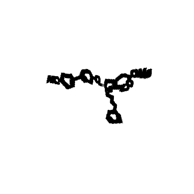 COC(=O)C[C@@H]1C[C@@H](COc2ccc(-c3ccc(C#N)cc3)cc2)N(CCCCc2ccccc2)C1=O